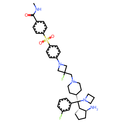 CNC(=O)c1ccc(S(=O)(=O)c2ccc(N3CC(F)(CN4CCC([C@@](c5cccc(F)c5)([C@H]5CCC[C@@H]5N)N5CCC5)CC4)C3)cc2)cc1